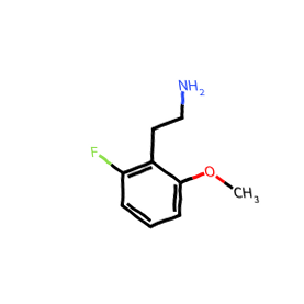 COc1cccc(F)c1CCN